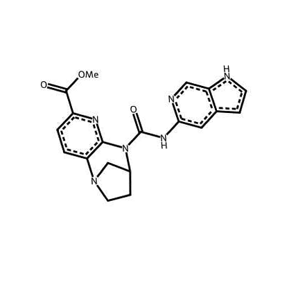 COC(=O)c1ccc2c(n1)N(C(=O)Nc1cc3cc[nH]c3cn1)C1CCN2C1